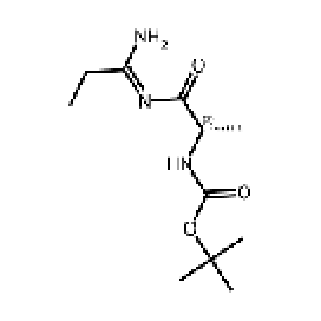 CCC(N)=NC(=O)[C@H](C)NC(=O)OC(C)(C)C